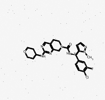 Cn1nccc1[C@H](NC(=O)N1CCc2cnc(NC3CCOCC3)nc2C1)c1ccc(Cl)c(F)c1